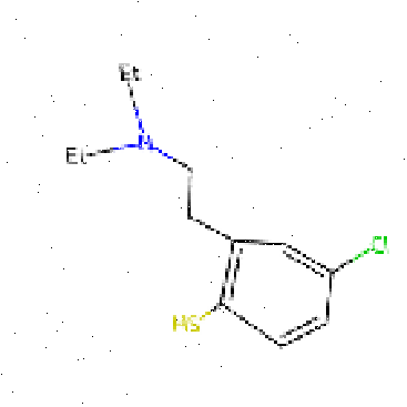 CCN(CC)CCc1cc(Cl)ccc1S